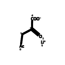 CC(=O)CC(=O)C(=O)[O-].[Li+]